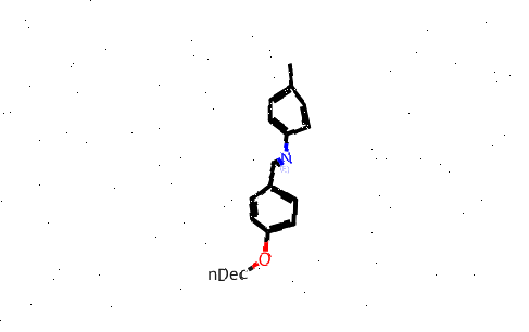 CCCCCCCCCCOc1ccc(/C=N/c2ccc(C)cc2)cc1